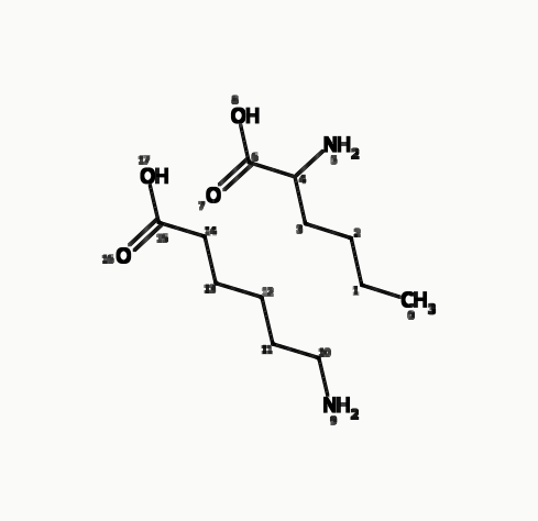 CCCCC(N)C(=O)O.NCCCCCC(=O)O